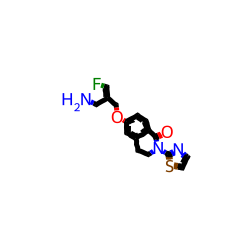 NC/C(=C\F)COc1ccc2c(c1)CCN(c1nccs1)C2=O